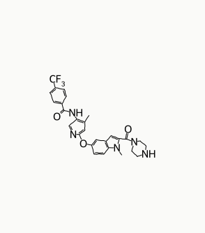 Cc1cc(Oc2ccc3c(c2)cc(C(=O)N2CCNCC2)n3C)ncc1NC(=O)c1ccc(C(F)(F)F)cc1